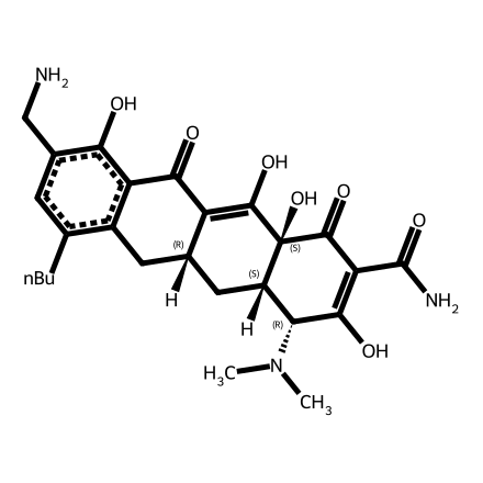 CCCCc1cc(CN)c(O)c2c1C[C@H]1C[C@H]3[C@@H](N(C)C)C(O)=C(C(N)=O)C(=O)[C@@]3(O)C(O)=C1C2=O